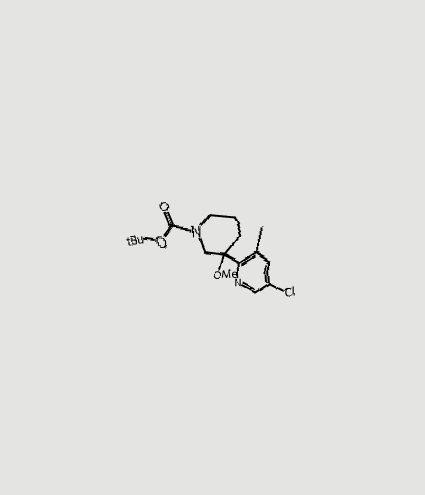 COC1(c2ncc(Cl)cc2C)CCCN(C(=O)OC(C)(C)C)C1